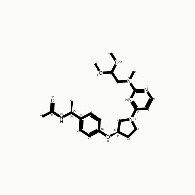 COC(CN(C)c1nccc(N2CC[C@@H](Oc3ccc([C@H](C)NC(C)=O)cc3)C2)n1)OC